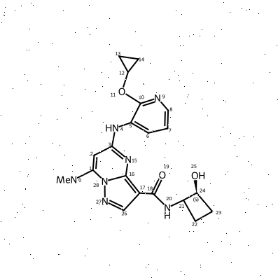 CNc1cc(Nc2cccnc2OC2CC2)nc2c(C(=O)NC3CC[C@@H]3O)cnn12